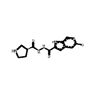 O=C(NNC(=O)[C@H]1CCNC1)c1cc2cc(Cl)ncc2[nH]1